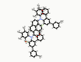 [2H]c1c([2H])c([2H])c(N(c2c(F)cc(-c3cccc([N+]#[C-])c3)cc2-c2cccc(C#N)c2)c2ccc3ccc4c(N(c5c(F)cc(-c6cccc([N+]#[C-])c6)cc5-c5cccc([N+]#[C-])c5)c5c([2H])c([2H])c([2H])c([2H])c5[2H])ccc5ccc2c3c54)c([2H])c1[2H]